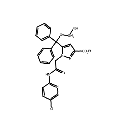 CCOC(=O)c1cc(C(O[SiH2]C(C)(C)C)(c2ccccc2)c2ccccc2)n(CC(=O)Nc2ccc(Cl)cn2)n1